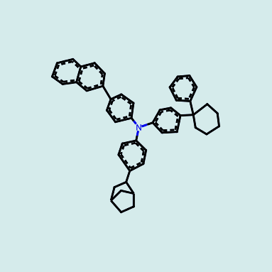 c1ccc(C2(c3ccc(N(c4ccc(-c5ccc6ccccc6c5)cc4)c4ccc(C5CC6CCC5C6)cc4)cc3)CCCCC2)cc1